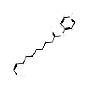 CCCCCCCC/C=C\CCCCCCCC(=O)Nc1ccncc1